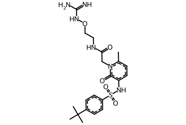 Cc1ccc(NS(=O)(=O)c2ccc(C(C)(C)C)cc2)c(=O)n1CC(=O)NCCONC(=N)N